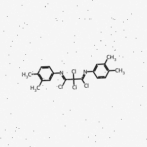 Cc1ccc(N=C(Cl)C(Cl)(Cl)C(Cl)=Nc2ccc(C)c(C)c2)cc1C